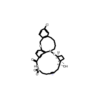 C[C@@]12CC[C@@H]1CN1CCCCc3cc(Cl)ccc3COc3ccc(cc31)C(=O)NS(=O)(=O)CC/C=C\C[C@H]2O